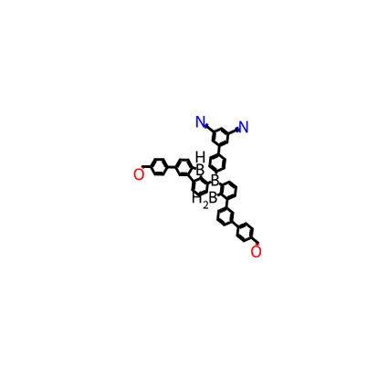 Bc1c(B(c2ccc(-c3cc(C#N)cc(C#N)c3)cc2)c2cccc3c2Bc2ccc(-c4ccc(C=O)cc4)cc2-3)cccc1-c1cccc(-c2ccc(C=O)cc2)c1